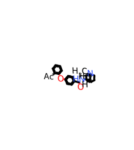 CC(=O)c1ccccc1Oc1ccc(C(=O)N[C@@H]2C3CCN(CC3)[C@H]2C)cc1